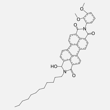 CCCCCCCCCCCCN1C(=O)c2ccc3c4ccc5c6c(ccc(c7ccc(c2c37)C1O)c64)C(=O)N(c1cccc(OC)c1OC)C5=O